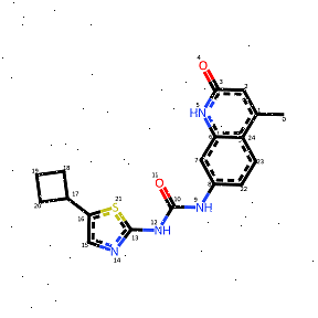 Cc1cc(=O)[nH]c2cc(NC(=O)Nc3ncc(C4CCC4)s3)ccc12